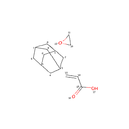 C1C2CC3CC1CC(C2)C3.C1CO1.C=CC(=O)O